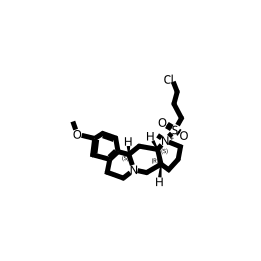 COc1ccc2c(c1)CCN1C[C@H]3CCC[N+](C)(S(=O)(=O)CCCCl)[C@H]3C[C@@H]21